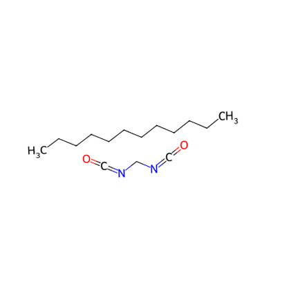 CCCCCCCCCCCC.O=C=NCN=C=O